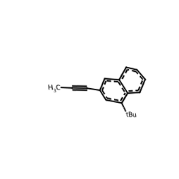 CC#Cc1cc(C(C)(C)C)c2ccccc2c1